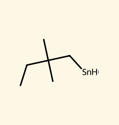 CCC(C)(C)[CH2][SnH]